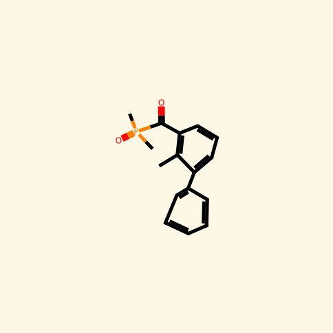 Cc1c(C(=O)P(C)(C)=O)cccc1-c1ccccc1